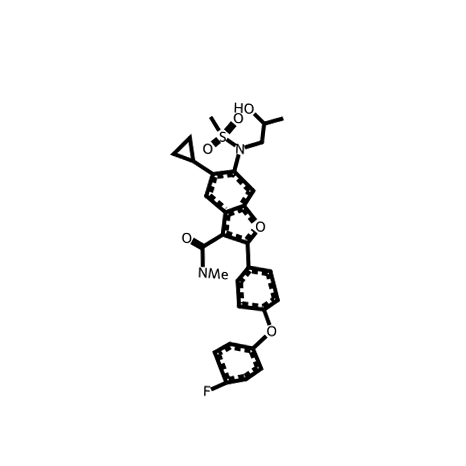 CNC(=O)c1c(-c2ccc(Oc3ccc(F)cc3)cc2)oc2cc(N(CC(C)O)S(C)(=O)=O)c(C3CC3)cc12